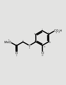 COC(=O)CSc1ccc(C(=O)O)cc1Cl